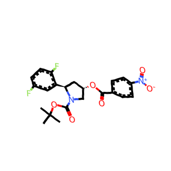 CC(C)(C)OC(=O)N1C[C@@H](OC(=O)c2ccc([N+](=O)[O-])cc2)C[C@@H]1c1cc(F)ccc1F